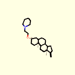 C=C1CCC2C3CCC4C[C@@H](OCCN5CCCCC5)CC[C@]4(C)C3CC[C@]12C